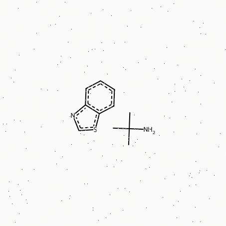 CC(C)(C)N.c1ccc2scnc2c1